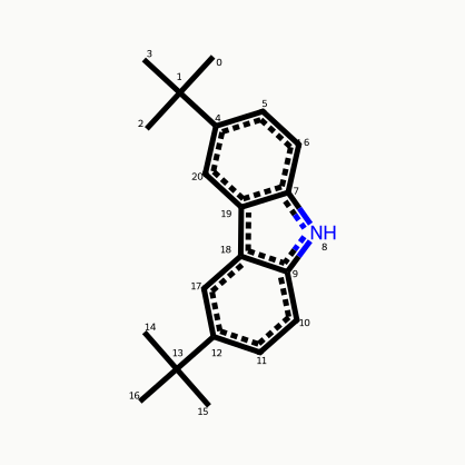 CC(C)(C)c1c[c]c2[nH]c3ccc(C(C)(C)C)cc3c2c1